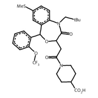 CSc1ccc2c(c1)C(c1ccccc1OC(F)(F)F)OC(CC(=O)N1CCC(C(=O)O)CC1)C(=O)N2CC(C)(C)C